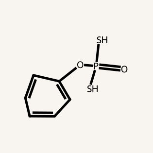 O=P(S)(S)Oc1ccccc1